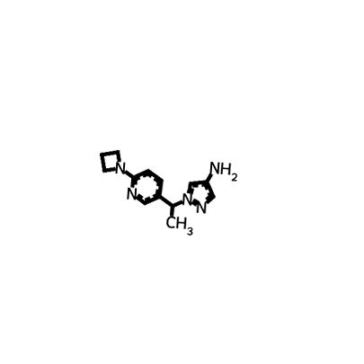 CC(c1ccc(N2CCC2)nc1)n1cc(N)cn1